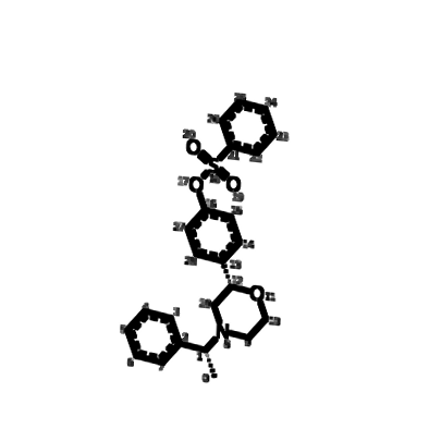 C[C@H](c1ccccc1)N1CCO[C@@H](c2ccc(OS(=O)(=O)c3ccccc3)cc2)C1